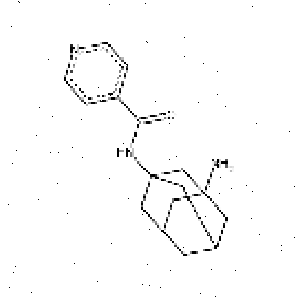 NC12CC3CC(C1)CC(NC(=O)c1ccncc1)(C3)C2